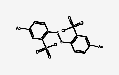 CC(=O)c1ccc(SSc2ccc(C(C)=O)cc2S(=O)(=O)Cl)c(S(=O)(=O)Cl)c1